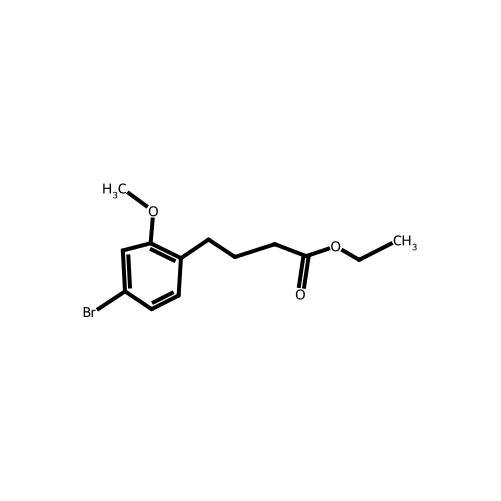 CCOC(=O)CCCc1ccc(Br)cc1OC